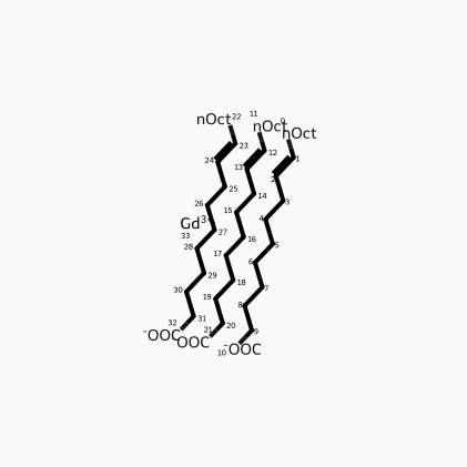 CCCCCCCCC=CCCCCCCCC(=O)[O-].CCCCCCCCC=CCCCCCCCC(=O)[O-].CCCCCCCCC=CCCCCCCCC(=O)[O-].[Gd+3]